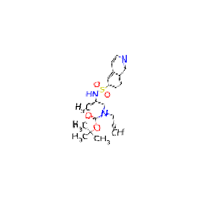 C#CCN(C[C@@H](C)NS(=O)(=O)c1ccc2cnccc2c1)C(=O)OC(C)(C)C